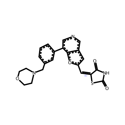 O=C1NC(=O)/C(=C\c2cc3cncc(-c4cccc(CN5CCOCC5)c4)c3o2)S1